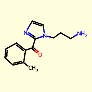 Cc1ccccc1C(=O)c1nccn1CCCN